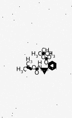 CC(C)COC(=O)N[C@@H]1C[C@H]1c1ccccc1OC(=O)OC(C)(C)C